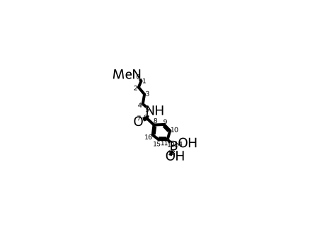 CNCCCCNC(=O)c1ccc(B(O)O)cc1